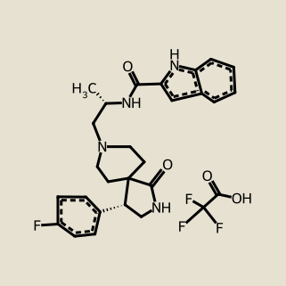 C[C@@H](CN1CCC2(CC1)C(=O)NC[C@@H]2c1ccc(F)cc1)NC(=O)c1cc2ccccc2[nH]1.O=C(O)C(F)(F)F